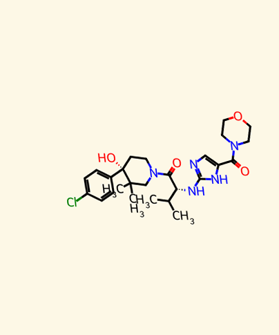 CC(C)[C@@H](Nc1ncc(C(=O)N2CCOCC2)[nH]1)C(=O)N1CC[C@](O)(c2ccc(Cl)cc2)C(C)(C)C1